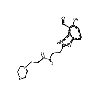 O=Cc1c(O)ccc2nc(CCC(=O)NCCN3CCOCC3)[nH]c12